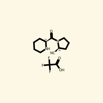 N#C[C@@H]1CCCN1C(=O)[C@@H]1CCCCN1.O=C(O)C(F)(F)F